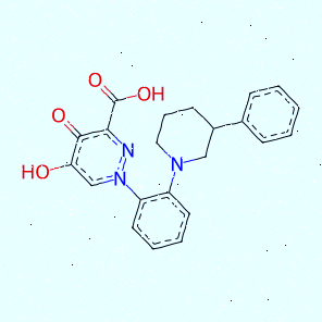 O=C(O)c1nn(-c2ccccc2N2CCCC(c3ccccc3)C2)cc(O)c1=O